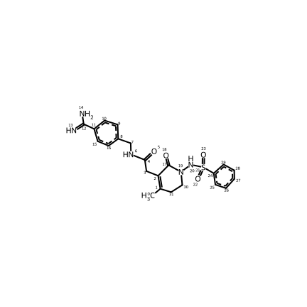 CC1=C(CC(=O)NCc2ccc(C(=N)N)cc2)C(=O)N(NS(=O)(=O)c2ccccc2)CC1